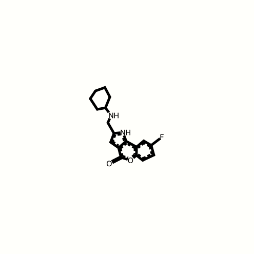 O=c1oc2ccc(F)cc2c2[nH]c(CNC3CCCCC3)cc12